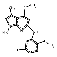 COc1ccc(F)cc1Nc1cc(OC)c2c(C)nn(C)c2n1